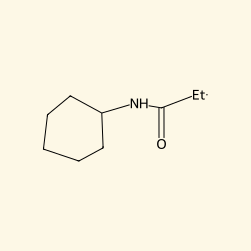 C[CH]C(=O)NC1CCCCC1